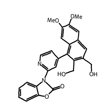 COc1cc2cc(CO)c(CO)c(-c3ccnc(-n4c(=O)oc5ccccc54)c3)c2cc1OC